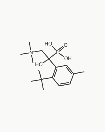 Cc1ccc(C(C)(C)C)c(C(O)(C[N+](C)(C)C)P(=O)(O)O)c1